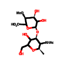 CO[C@@H]1C(C(=O)O)O[C@@H](O[C@H]2C(O)C(CO)O[C@@H](C)C2NC(C)=O)C(O)[C@H]1O